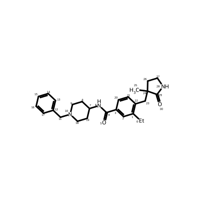 CCc1cc(C(=O)NC2CCN(Cc3ccccc3)CC2)ccc1CC1(C)CCNC1=O